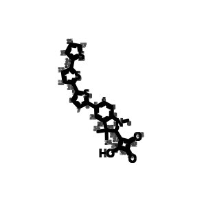 CN1c2ccc(-c3ccc(-c4ccc(-c5cccs5)s4)s3)cc2C(C)(C)C1c1c(O)c(=O)c1=O